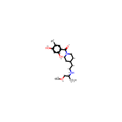 CC(C)c1cc(C(=O)N2CCC(CCNC(COC(C)(C)C)C(=O)O)CC2)c(O)cc1O